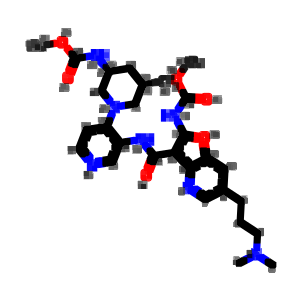 CN(C)CCCc1cnc2c(C(=O)Nc3cnccc3N3C[C@@H](NC(=O)OC(C)(C)C)C[C@@H](C(F)(F)F)C3)c(NC(=O)OC(C)(C)C)oc2c1